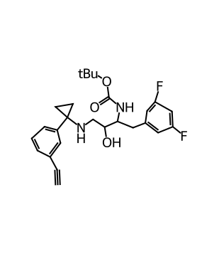 C#Cc1cccc(C2(NCC(O)C(Cc3cc(F)cc(F)c3)NC(=O)OC(C)(C)C)CC2)c1